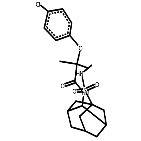 CNS(=O)(=O)C12CC3CC(C1)C(NC(=O)C(C)(C)Oc1ccc(Cl)cc1)C(C3)C2